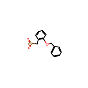 O=[SH](=O)Cc1[c]cccc1OCc1ccccc1